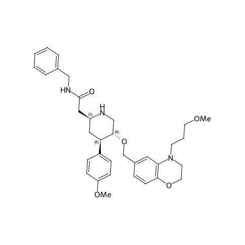 COCCCN1CCOc2ccc(CO[C@H]3CN[C@H](CC(=O)NCc4ccccc4)C[C@@H]3c3ccc(OC)cc3)cc21